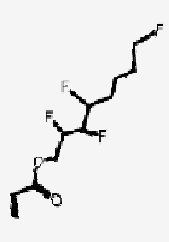 C=CC(=O)OCC(F)C(F)C(F)CCCCF